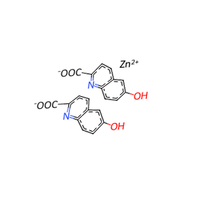 O=C([O-])c1ccc2cc(O)ccc2n1.O=C([O-])c1ccc2cc(O)ccc2n1.[Zn+2]